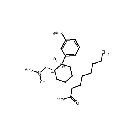 CCCCCCCC(=O)O.COc1cccc([C@@]2(O)CCCC[C@@H]2CN(C)C)c1